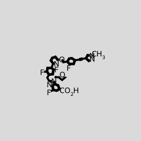 Cn1cc(C#Cc2ccc(COc3cccc(-c4cc(F)c(Cc5nc6c(F)cc(C(=O)O)cc6n5CC5CCO5)cc4F)n3)c(F)c2)cn1